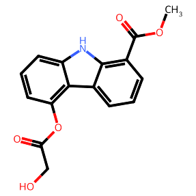 COC(=O)c1cccc2c1[nH]c1cccc(OC(=O)CO)c12